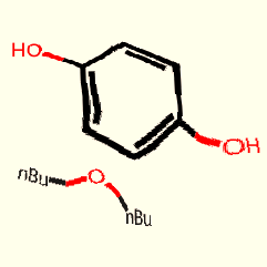 CCCCOCCCC.Oc1ccc(O)cc1